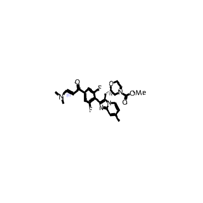 COC(=O)N1CCO[C@@H](Cc2c(-c3c(F)cc(C(=O)/C=C/N(C)C)cc3F)nc3cc(C)ccn23)C1